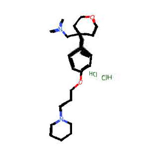 CN(C)CC1(c2ccc(OCCCN3CCCCC3)cc2)CCOCC1.Cl.Cl